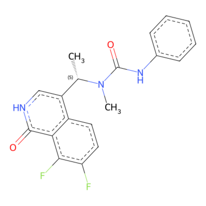 C[C@@H](c1c[nH]c(=O)c2c(F)c(F)ccc12)N(C)C(=O)Nc1ccccc1